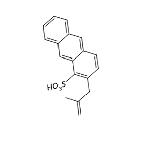 C=C(C)Cc1ccc2cc3ccccc3cc2c1S(=O)(=O)O